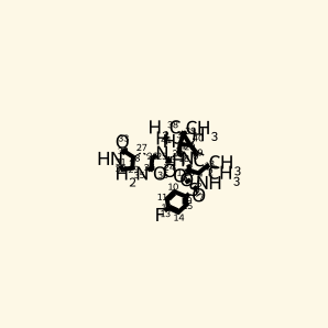 CC(C)(C)[C@H](NS(=O)(=O)c1ccc(F)cc1)C(=O)N1C[C@H]2[C@@H]([C@H]1C(=O)N[C@@H](C[C@@H]1CCNC1=O)C(N)=O)C2(C)C